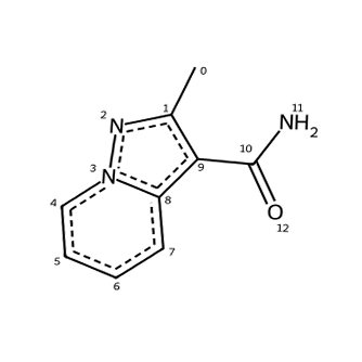 Cc1nn2ccccc2c1C(N)=O